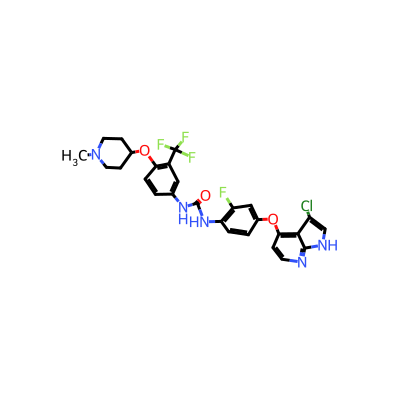 CN1CCC(Oc2ccc(NC(=O)Nc3ccc(Oc4ccnc5[nH]cc(Cl)c45)cc3F)cc2C(F)(F)F)CC1